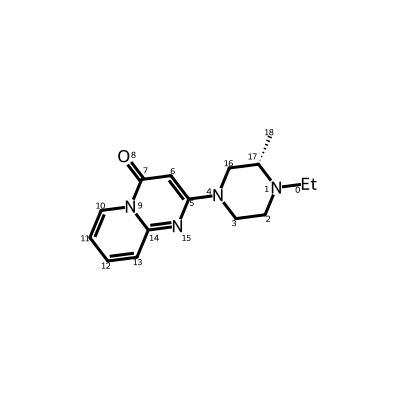 CCN1CCN(c2cc(=O)n3ccccc3n2)C[C@@H]1C